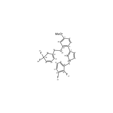 COc1ccc(-c2ccn(Cc3cccc(F)c3F)n2)c(OCC2=CC=CC(F)(F)C2)c1